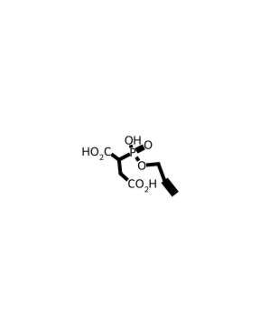 C#CCOP(=O)(O)C(CC(=O)O)C(=O)O